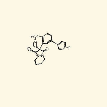 Cc1ccc(-c2ccc(F)cc2)cc1C1(Cl)C(=O)N2CCCCN2C1=O